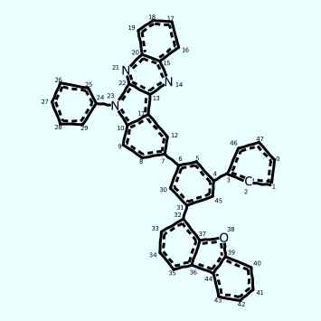 c1ccc(-c2cc(-c3ccc4c(c3)c3nc5ccccc5nc3n4-c3ccccc3)cc(-c3cccc4c3oc3ccccc34)c2)cc1